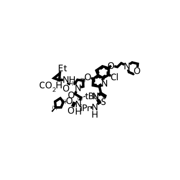 CCC1C[C@]1(NC(=O)[C@@H]1C[C@@H](Oc2cc(-c3csc(NC(C)C)n3)nc3c(Cl)c(OCCN4CCOCC4)ccc23)CN1C(=O)[C@@H](NC(=O)O[C@H]1CC[C@H](C)C1)C(C)(C)C)C(=O)O